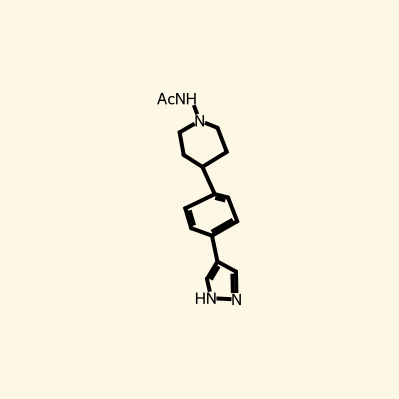 CC(=O)NN1CCC(c2ccc(-c3cn[nH]c3)cc2)CC1